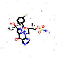 CC[C@H](COS(N)(=O)=O)[C@@H](O)CNc1ncncc1C(=O)c1cc(C(C)(C)O)n(Cc2cccc(Br)c2)n1